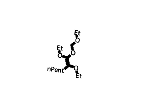 CCCCC/C(OCC)=C(\OCC)OCOCC